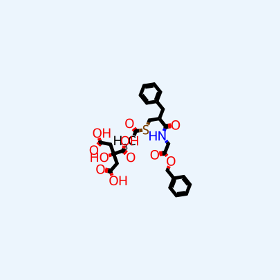 CC(=O)SCC(Cc1ccccc1)C(=O)NCC(=O)OCc1ccccc1.O=C(O)CC(O)(CC(=O)O)C(=O)O